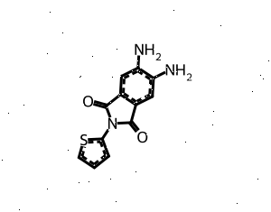 Nc1cc2c(cc1N)C(=O)N(c1cccs1)C2=O